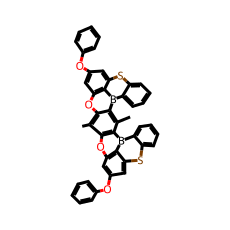 Cc1c2c(c(C)c3c1Oc1cc(Oc4ccccc4)cc4c1B3c1ccccc1S4)B1c3ccccc3Sc3cc(Oc4ccccc4)cc(c31)O2